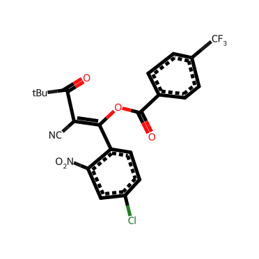 CC(C)(C)C(=O)/C(C#N)=C(\OC(=O)c1ccc(C(F)(F)F)cc1)c1ccc(Cl)cc1[N+](=O)[O-]